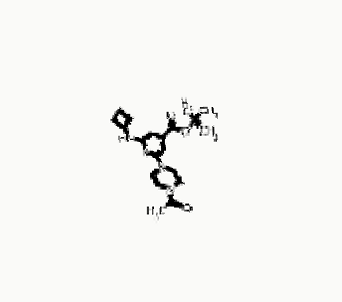 CC(=O)N1CCN(c2cc(C(=O)OC(C)(C)C)cc(NC3CCC3)n2)CC1